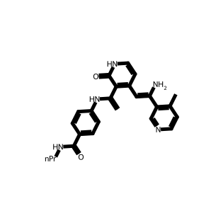 C=C(Nc1ccc(C(=O)NCCC)cc1)c1c(/C=C(\N)c2cnccc2C)cc[nH]c1=O